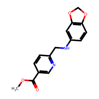 COC(=O)c1ccc(CNc2ccc3c(c2)OCO3)nc1